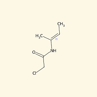 C/C=C(\C)NC(=O)CCl